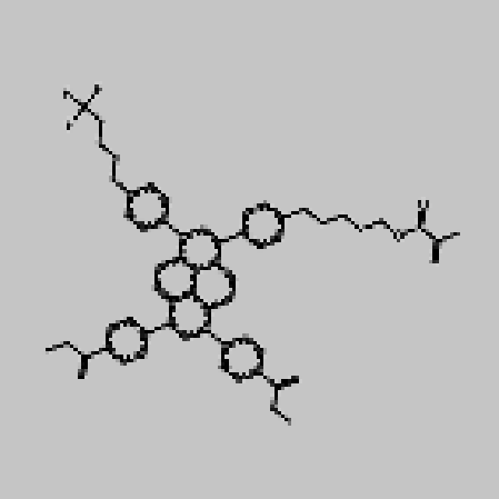 C=C(C)C(=O)OCCCCCc1ccc(-c2cc(-c3ccc(CCCCC(F)(F)F)cc3)c3ccc4c(-c5ccc(C(=C)CC)cc5)cc(-c5ccc(C(=C)CC)cc5)c5ccc2c3c54)cc1